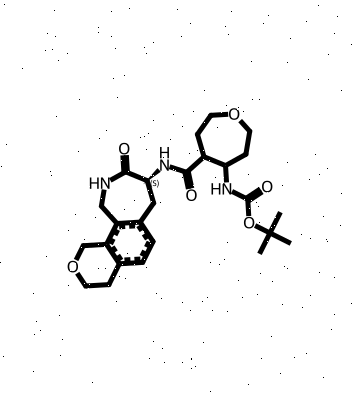 CC(C)(C)OC(=O)NC1CCOCCC1C(=O)N[C@H]1Cc2ccc3c(c2CNC1=O)COCC3